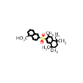 Cc1cc2c(cc1S(=O)(=O)c1ccc3c(C(=O)O)cccc3c1)C(C)(C)CCC2(C)C